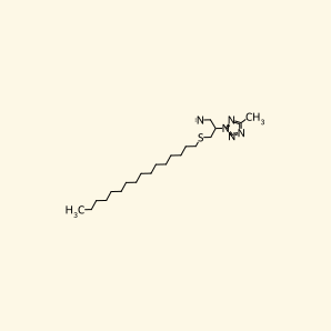 CCCCCCCCCCCCCCCCSCC(C[N])n1nnc(C)n1